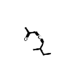 CCC(C)C=C=CC(C)=O